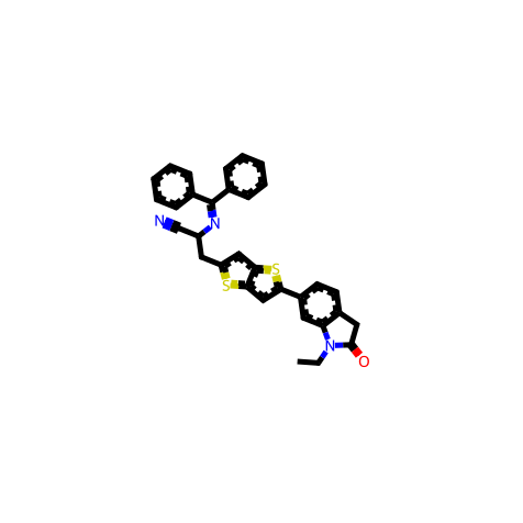 CCN1C(=O)Cc2ccc(-c3cc4sc(CC(C#N)N=C(c5ccccc5)c5ccccc5)cc4s3)cc21